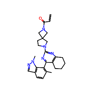 C=CC(=O)N1CC2(CCN(c3nc4c(c(-c5c(C)ccc6cnn(C)c56)n3)CCCC4)C2)C1